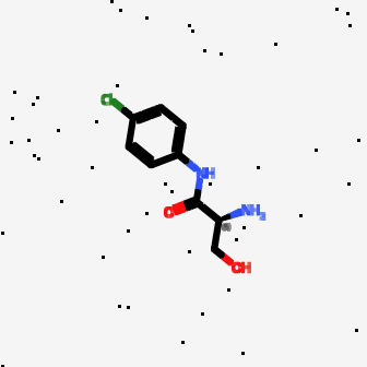 N[C@@H](CO)C(=O)Nc1ccc(Cl)cc1